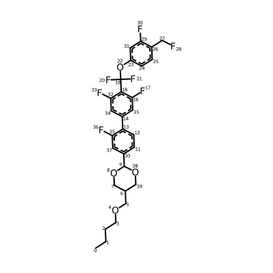 CCCCOCC1COC(c2ccc(-c3cc(F)c(C(F)(F)Oc4ccc(CF)c(F)c4)c(F)c3)c(F)c2)OC1